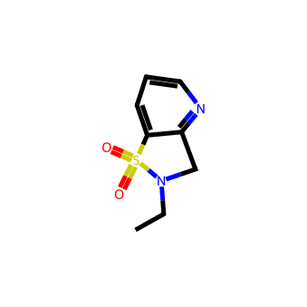 CCN1Cc2ncccc2S1(=O)=O